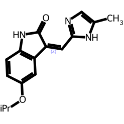 Cc1cnc(/C=C2\C(=O)Nc3ccc(OC(C)C)cc32)[nH]1